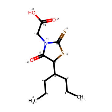 CCCC(CCC)C1SC(=S)N(CC(=O)O)C1=O